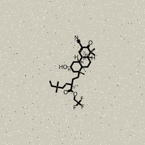 CCC(C)(C)CC[C@@](C)(CC[C@]1(C)C[C@H](O)C[C@@H]2[C@@]3(C)C=C(C#N)C(=O)C(C)(C)[C@@H]3CC[C@]21C)C(=O)OCC(F)(F)F